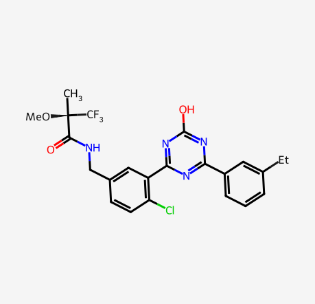 CCc1cccc(-c2nc(O)nc(-c3cc(CNC(=O)[C@@](C)(OC)C(F)(F)F)ccc3Cl)n2)c1